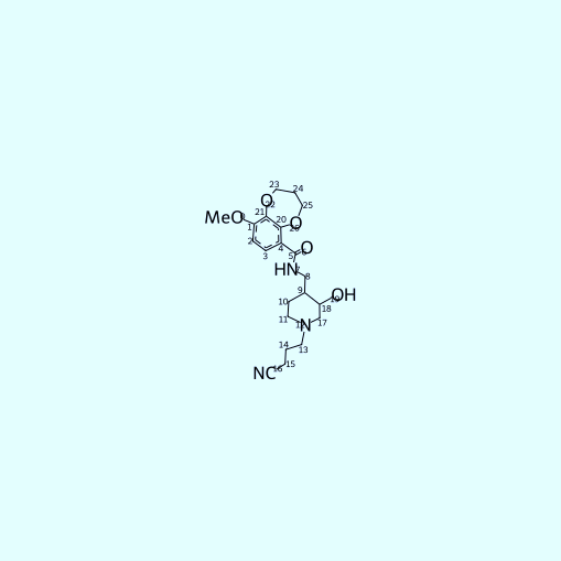 COc1ccc(C(=O)NCC2CCN(CCCC#N)CC2O)c2c1OCCCO2